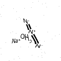 O.[N-]=[N+]=[N-].[Na+]